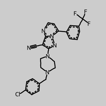 N#Cc1c(N2CCN(Cc3ccc(Cl)cc3)CC2)nn2c(-c3cccc(C(F)(F)F)c3)ccnc12